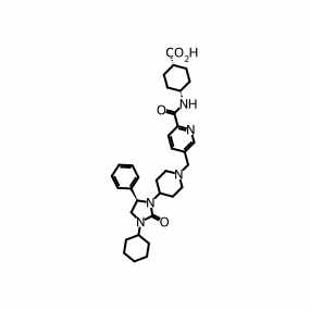 O=C(N[C@H]1CC[C@@H](C(=O)O)CC1)c1ccc(CN2CCC(N3C(=O)N(C4CCCCC4)C[C@H]3c3ccccc3)CC2)cn1